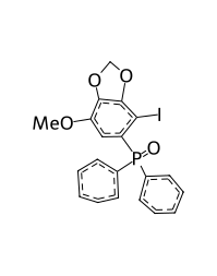 COc1cc(P(=O)(c2ccccc2)c2ccccc2)c(I)c2c1OCO2